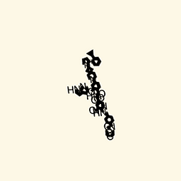 O=Nc1cc(S(=O)(=O)NC(=O)c2ccc(N3CCC4(CC3)CC(N3CCC[C@@H]3c3ccccc3C3CC3)C4)cc2Oc2cnc3[nH]ccc3c2)cnc1NCC1CCC(N=S2(=O)CCOCC2)CC1